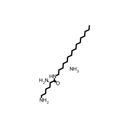 CCCCCCCCCCCCCCCCNC(=O)[C@@H](N)CCCCN.N